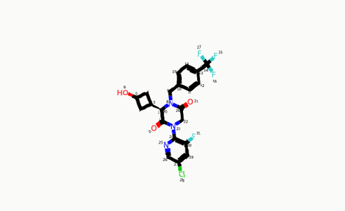 O=C1[C@@H](C2CC(O)C2)N(Cc2ccc(C(F)(F)F)cc2)C(=O)CN1c1ncc(Cl)cc1F